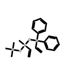 C=C[Si](C)(O[Si](C)(C)C)O[Si](C=C)(c1ccccc1)c1ccccc1